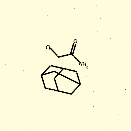 C1C2CC3CC1CC(C2)C3.NC(=O)CCl